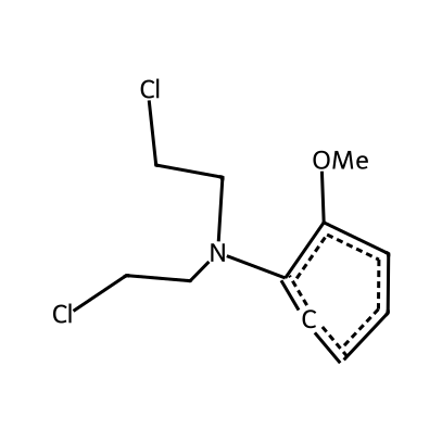 COc1ccccc1N(CCCl)CCCl